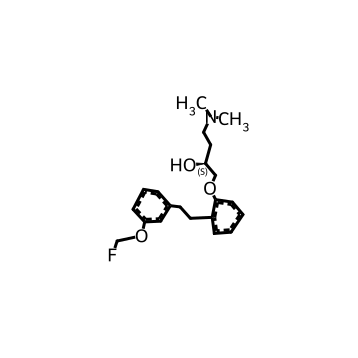 CN(C)CC[C@H](O)COc1ccccc1CCc1cccc(OCF)c1